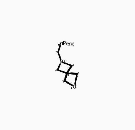 CCCCCCN1CC2(COC2)C1